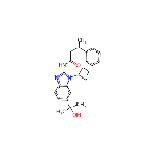 CC(CC(=O)Nc1nc2ccc(C(C)(C)O)cc2n1C1CCC1)c1ccccc1